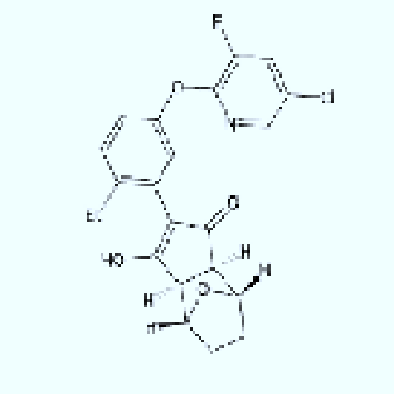 CCc1ccc(Oc2ncc(Cl)cc2F)cc1C1=C(O)[C@H]2[C@@H](C1=O)[C@@H]1CC[C@H]2O1